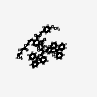 C=CCNC(=O)OC/C=C\C1=C(C(=O)OCc2ccc(OC)cc2)N2C(=O)C(NC(=O)/C(=N\OC(c3ccccc3)(c3ccccc3)c3ccccc3)c3csc(NC(c4ccccc4)(c4ccccc4)c4ccccc4)n3)[C@@H]2SC1